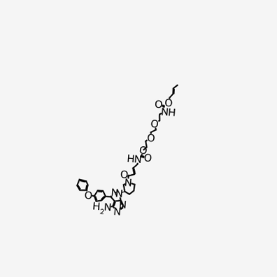 C/C=C/COC(=O)NCCOCCOCCOC(=O)NC/C=C/C(=O)N1CCC[C@@H](n2nc(-c3ccc(Oc4ccccc4)cc3)c3c(N)ncnc32)C1